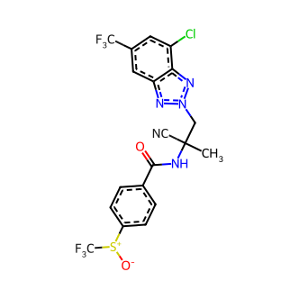 CC(C#N)(Cn1nc2cc(C(F)(F)F)cc(Cl)c2n1)NC(=O)c1ccc([S+]([O-])C(F)(F)F)cc1